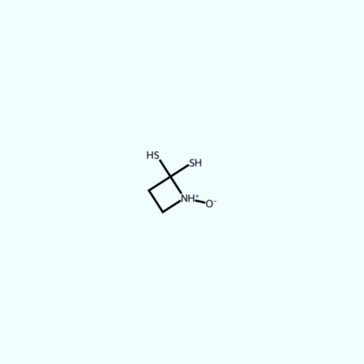 [O-][NH+]1CCC1(S)S